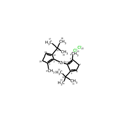 CC1=[C]([Zr+2][C]2=C(C)CC=C2C(C)(C)C)C(C(C)(C)C)=CC1.[Cl-].[Cl-]